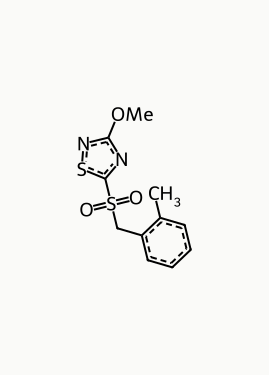 COc1nsc(S(=O)(=O)Cc2ccccc2C)n1